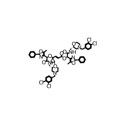 Cc1oc(-c2ccccc2)nc1C(OC(=O)/C=C/C(=O)OC(C(=O)NC[C@H]1CN(Cc2ccc(Cl)c(Cl)c2)CCO1)c1nc(-c2ccccc2)oc1C)C(=O)NC[C@H]1CN(Cc2ccc(Cl)c(Cl)c2)CCO1